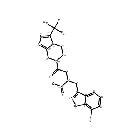 O=C(CC(Cc1n[nH]c2c(F)cccc12)[N+](=O)[O-])N1CCn2c(nnc2C(F)(F)F)C1